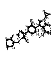 Cc1ccc(C)c(Cn2cnn(-c3ccc(-c4cn(C5CC5)c5ncnc(N)c45)c(F)c3)c2=O)c1